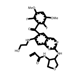 C=CC(=O)NC1COCC1Nc1ncc2cc(C(=O)c3c(F)c(OC)cc(OC)c3F)c(NCCO)cc2n1